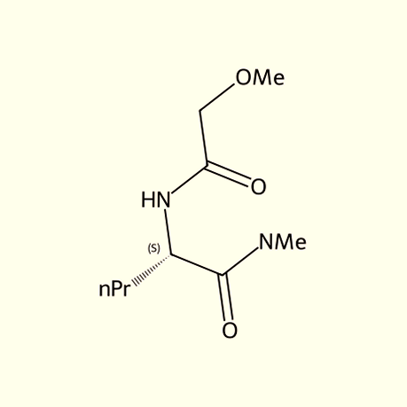 CCC[C@H](NC(=O)COC)C(=O)NC